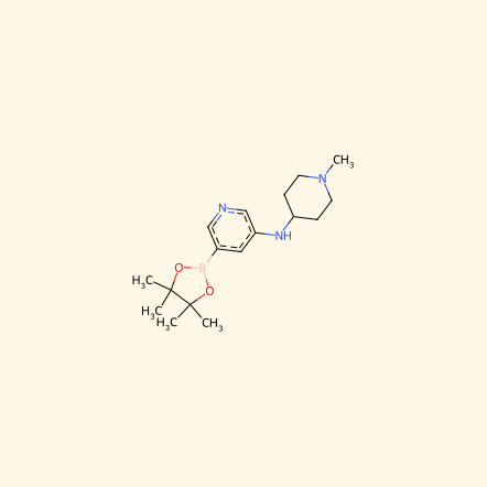 CN1CCC(Nc2cncc(B3OC(C)(C)C(C)(C)O3)c2)CC1